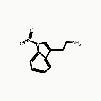 NCCc1cn([SH](=O)=O)c2ccccc12